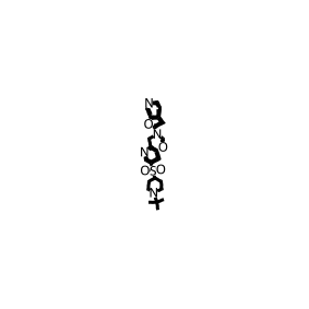 CC(C)(C)N1CCC(S(=O)(=O)c2ccc(CN(C=O)c3cc4ccncc4o3)nc2)CC1